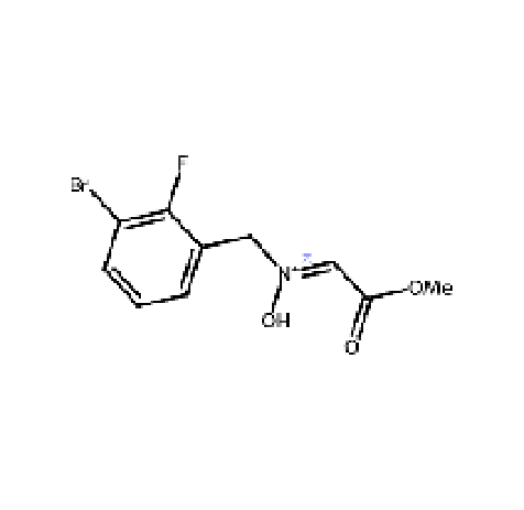 COC(=O)/C=[N+](\O)Cc1cccc(Br)c1F